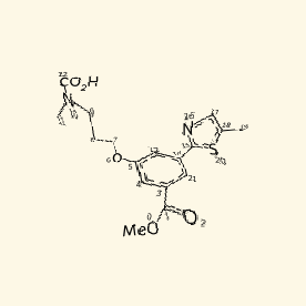 COC(=O)c1cc(OCCCN(C)C(=O)O)cc(-c2ncc(C)s2)c1